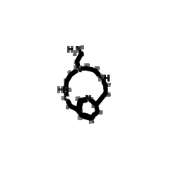 NCCN1CCNCCC2=C=NC(CC=C2)CCNCC1